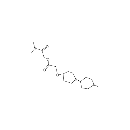 CN1CCC(N2CCC(OCC(=O)OCC(=O)N(C)C)CC2)CC1